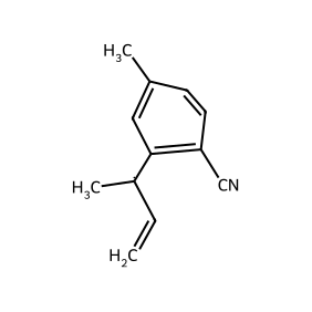 C=C[C](C)c1cc(C)ccc1C#N